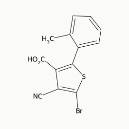 Cc1ccccc1-c1sc(Br)c(C#N)c1C(=O)O